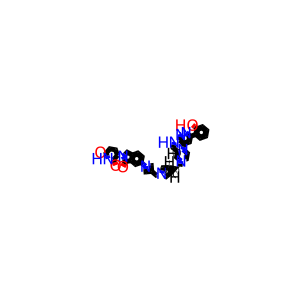 O=C1CCC(N2Cc3ccc(N4CC(CN5C[C@@H]6[C@H](C5)[C@H]6CN5CCN6c7cc(-c8ccccc8O)nnc7NC[C@H]6C5)C4)cc3C2=O)C(=O)N1